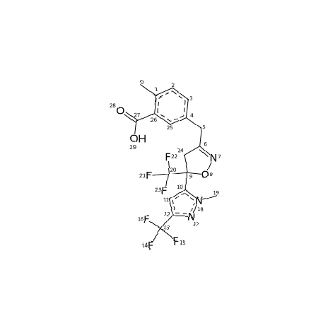 Cc1ccc(CC2=NOC(c3cc(C(F)(F)F)nn3C)(C(F)(F)F)C2)cc1C(=O)O